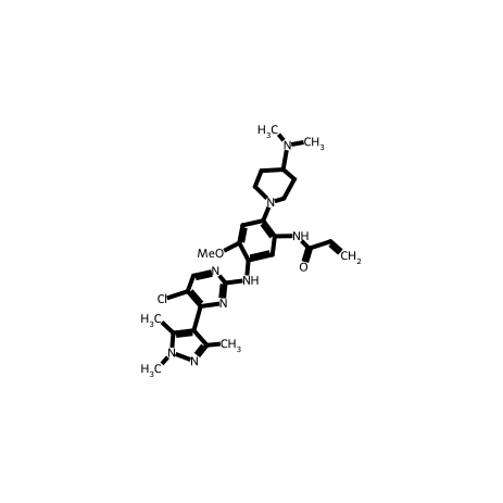 C=CC(=O)Nc1cc(Nc2ncc(Cl)c(-c3c(C)nn(C)c3C)n2)c(OC)cc1N1CCC(N(C)C)CC1